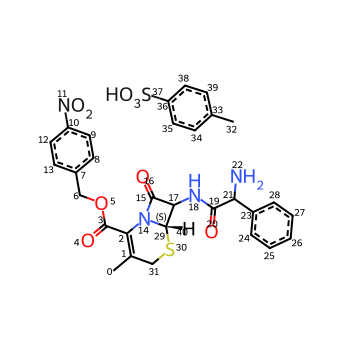 CC1=C(C(=O)OCc2ccc([N+](=O)[O-])cc2)N2C(=O)C(NC(=O)C(N)c3ccccc3)[C@@H]2SC1.Cc1ccc(S(=O)(=O)O)cc1